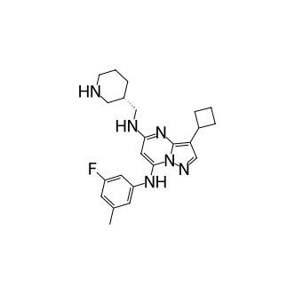 Cc1cc(F)cc(Nc2cc(NC[C@H]3CCCNC3)nc3c(C4CCC4)cnn23)c1